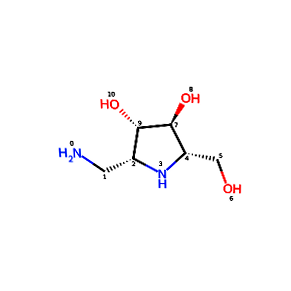 NC[C@H]1N[C@@H](CO)[C@H](O)[C@H]1O